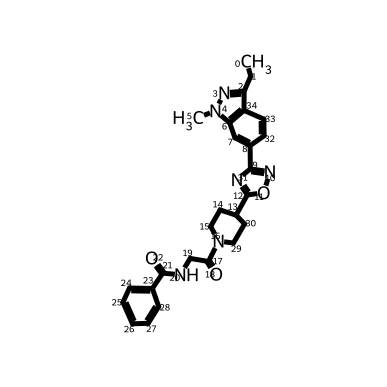 CCc1nn(C)c2cc(-c3noc(C4CCN(C(=O)CNC(=O)c5ccccc5)CC4)n3)ccc12